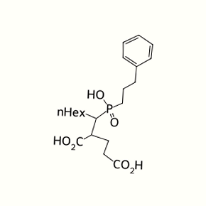 CCCCCCC(C(CCC(=O)O)C(=O)O)P(=O)(O)CCCc1ccccc1